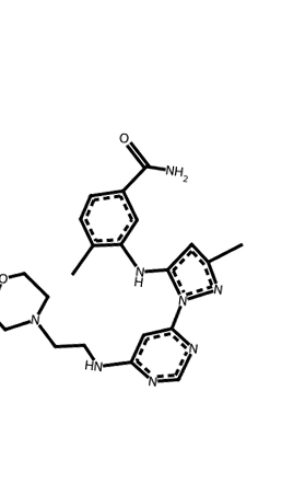 Cc1cc(Nc2cc(C(N)=O)ccc2C)n(-c2cc(NCCN3CCOCC3)ncn2)n1